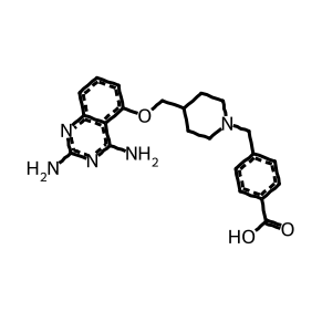 Nc1nc(N)c2c(OCC3CCN(Cc4ccc(C(=O)O)cc4)CC3)cccc2n1